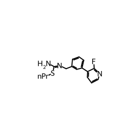 CCCS/C(N)=N\Cc1cccc(-c2cccnc2F)c1